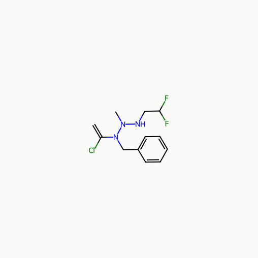 C=C(Cl)N(Cc1ccccc1)N(C)NCC(F)F